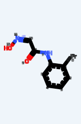 CC(C)c1ccccc1NC(=O)/C=N\O